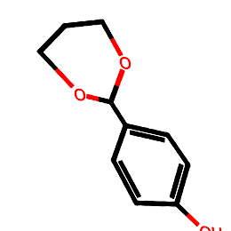 Oc1ccc(C2OCCCO2)cc1